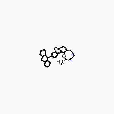 CC1/C=C\C=C/Cc2ccc3oc4cc(-c5c6ccccc6cc6ccccc56)ccc4c3c2O1